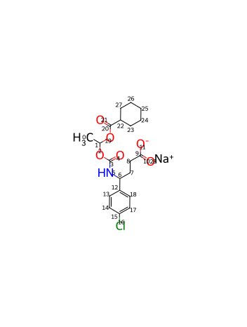 CC(OC(=O)NC(CCC(=O)[O-])c1ccc(Cl)cc1)OC(=O)C1CCCCC1.[Na+]